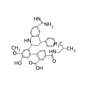 COc1cc(C2CC(c3ccccc3)c3cc(C(=N)N)ccc3N2)c(-c2ccc(C(=O)NCC(C)C)cc2C(=O)O)cc1O